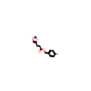 O=C(CCc1cocn1)OCc1ccc(F)cc1